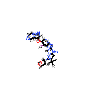 Cn1c(Nc2cc(C(C)(C)C)n([C@H]3CCOC3)n2)nc2ncc(Oc3cnn4ccncc34)c(I)c21